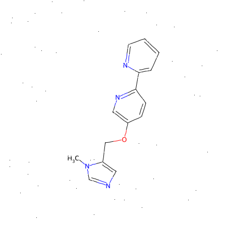 Cn1cncc1COc1ccc(-c2ccccn2)nc1